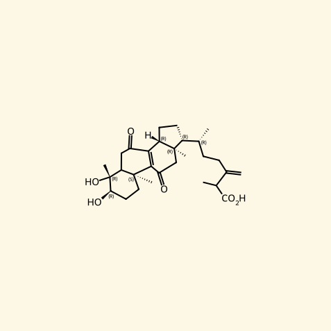 C=C(CC[C@@H](C)[C@H]1CC[C@H]2C3=C(C(=O)C[C@]12C)[C@@]1(C)CC[C@@H](O)[C@](C)(O)C1CC3=O)C(C)C(=O)O